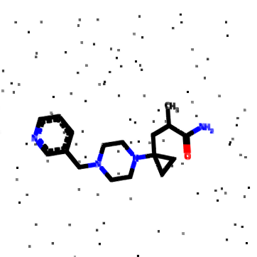 CC(CC1(N2CCN(Cc3cccnc3)CC2)CC1)C(N)=O